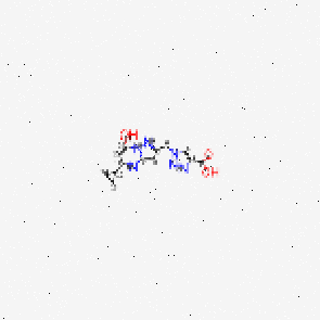 O=C(O)c1cn(Cc2cc3nc(C4CC4)cc(O)n3n2)nn1